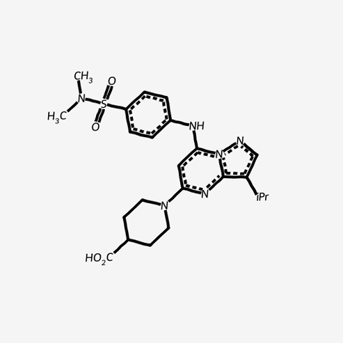 CC(C)c1cnn2c(Nc3ccc(S(=O)(=O)N(C)C)cc3)cc(N3CCC(C(=O)O)CC3)nc12